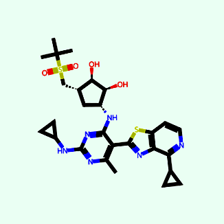 Cc1nc(NC2CC2)nc(N[C@@H]2C[C@H](CS(=O)(=O)C(C)(C)C)[C@@H](O)[C@H]2O)c1-c1nc2c(C3CC3)nccc2s1